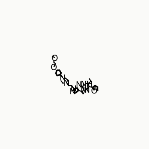 C=C1c2cnn(CCN3CCN(c4ccc(OCCOC)cc4)CC3)c2N=C(N)N1/N=C(/c1ccco1)C(C)CC